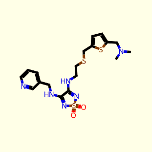 CN(C)Cc1ccc(CSCCNC2=NS(=O)(=O)N=C2NCc2cccnc2)s1